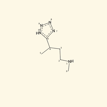 CNCCC(C)c1nnn[nH]1